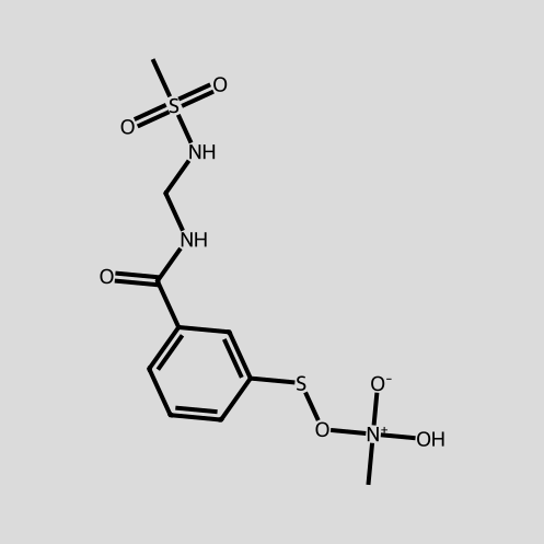 C[N+]([O-])(O)OSc1cccc(C(=O)NCNS(C)(=O)=O)c1